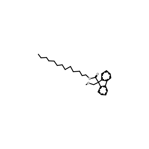 CCCCCCCCCCCCCOC(=O)C1(COC)c2ccccc2-c2ccccc21